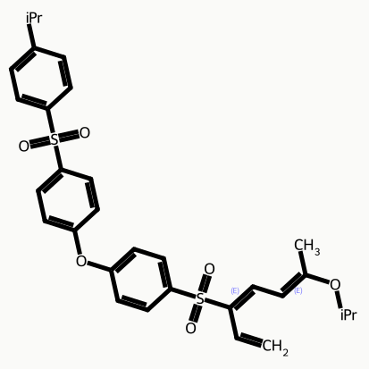 C=C/C(=C\C=C(/C)OC(C)C)S(=O)(=O)c1ccc(Oc2ccc(S(=O)(=O)c3ccc(C(C)C)cc3)cc2)cc1